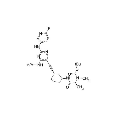 CCCNc1nc(Nc2ccc(F)nc2)ncc1C#C[C@@H]1CCC[C@H](NC(=O)[C@H](C)N(C)C(=O)OC(C)(C)C)C1